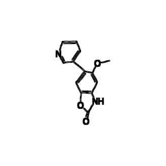 COc1cc2[nH]c(=O)oc2cc1-c1cccnc1